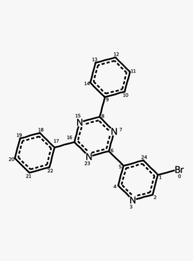 Brc1cncc(-c2nc(-c3ccccc3)nc(-c3ccccc3)n2)c1